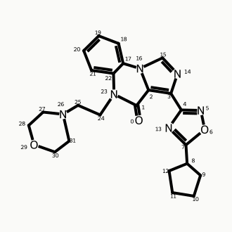 O=c1c2c(-c3noc(C4CCCC4)n3)ncn2c2ccccc2n1CCN1CCOCC1